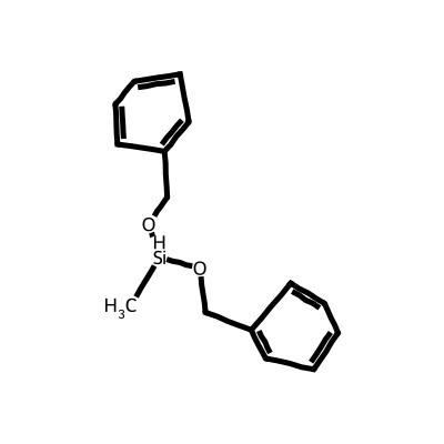 C[SiH](OCc1ccccc1)OCc1ccccc1